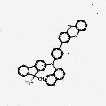 CC1(C)c2ccccc2-c2ccc(N(c3ccc(-c4ccc5c(c4)Sc4ccccc4O5)cc3)c3cccc4ccccc34)cc21